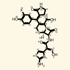 Nc1nc(C(=NO)C(=O)N[C@@H]2C(=O)N3C(C(=O)O)=C(C(=C4CCNC4=O)c4ccc(O)c(F)c4)CS[C@H]23)cs1